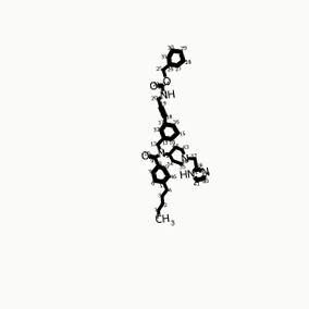 CCCCCc1ccc(C(=O)N(Cc2cccc(C#CCNC(=O)OCc3ccccc3)c2)C2CCN(Cc3ncc[nH]3)CC2)cc1